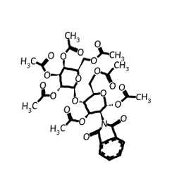 CC(=O)OC[C@H]1O[C@@H](O[C@H]2[C@H](OC(C)=O)[C@H](N3C(=O)c4ccccc4C3=O)[C@@H](OC(C)=O)O[C@@H]2COC(C)=O)[C@H](OC(C)=O)[C@@H](OC(C)=O)[C@H]1OC(C)=O